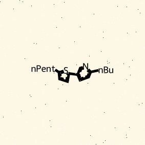 CCCCCc1ccc(-c2ccc(CCCC)nc2)s1